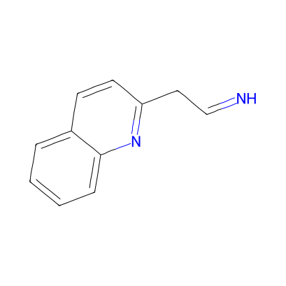 N=CCc1ccc2ccccc2n1